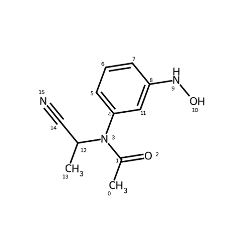 CC(=O)N(c1cccc(NO)c1)C(C)C#N